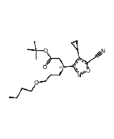 CCCCOCCC[C@@H](CC(=O)OC(C)(C)C)c1noc(C#N)c1C1CC1